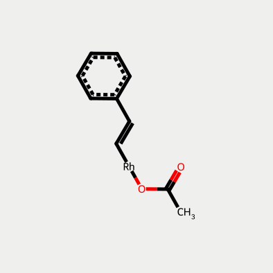 CC(=O)[O][Rh][CH]=Cc1ccccc1